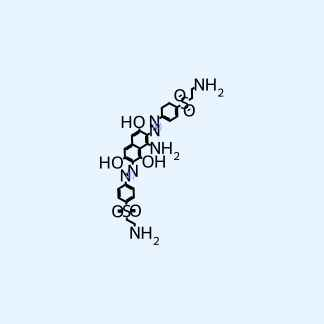 NCCS(=O)(=O)C1=CC=C(/N=N/c2c(O)cc3cc(O)c(/N=N/c4ccc(S(=O)(=O)CCN)cc4)c(O)c3c2N)CC1